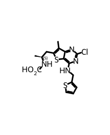 Cc1c(C[C@H](C)NC(=O)O)sc2c(NCc3cccs3)nc(Cl)nc12